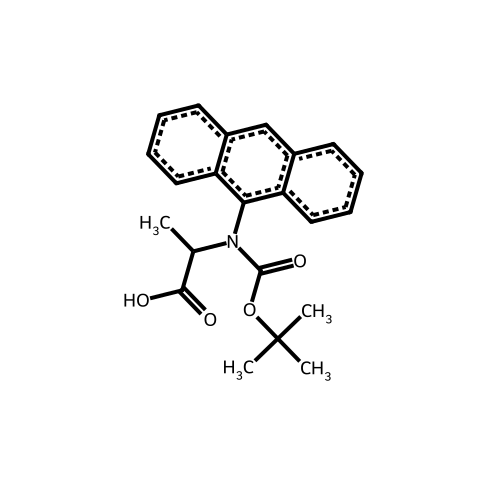 CC(C(=O)O)N(C(=O)OC(C)(C)C)c1c2ccccc2cc2ccccc12